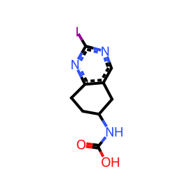 O=C(O)NC1CCc2nc(I)ncc2C1